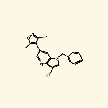 Cc1noc(C)c1-c1cnc2c(Cl)cn(Cc3ccccc3)c2c1